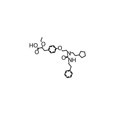 CCOC(Cc1ccc(OCCN(CCC2CCCC2)C(=O)NCCc2ccccc2)cc1)C(=O)O